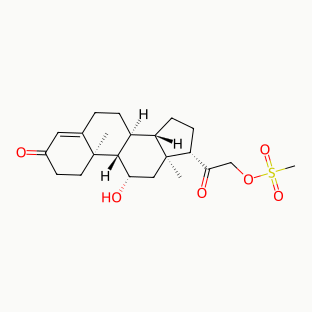 C[C@]12C[C@H](O)[C@H]3[C@@H](CCC4=CC(=O)CC[C@@]43C)[C@@H]1CC[C@@H]2C(=O)COS(C)(=O)=O